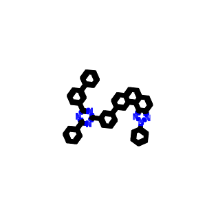 c1ccc(-c2cccc(-c3nc(-c4ccccc4)nc(-c4cccc(-c5ccc6ccc7ccc8nn(-c9ccccc9)nc8c7c6c5)c4)n3)c2)cc1